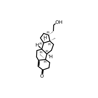 C[C@]12CC[C@@H]3[C@H](CCC4=CC(=O)CC[C@@]43C)[C@H]1CC[C@@H]2CCO